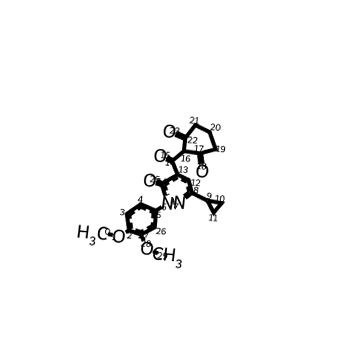 COc1ccc(-n2nc(C3CC3)cc(C(=O)C3C(=O)CCCC3=O)c2=O)cc1OC